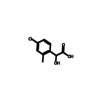 Cc1cc(Cl)ccc1C(O)C(=O)O